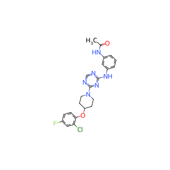 CC(=O)Nc1cccc(Nc2ncnc(N3CCC(Oc4ccc(F)cc4Cl)CC3)n2)c1